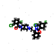 O=C(N[C@@H](CCN1CC2=CN(C(=O)c3c(F)cccc3Cl)CC2C1)c1ccccc1)c1ccc(F)cc1Cl